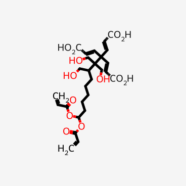 C=CC(=O)OC(CCCCCC(CO)C(CO)(CO)C(C=CC(=O)O)(C=CC(=O)O)C=CC(=O)O)OC(=O)C=C